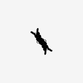 CCCCCCOc1ccc(-c2ccc(C(=O)Oc3ccc4cc(-c5ccc(-c6ccc(CCCCC)cc6)cc5)ccc4c3-c3c(OC(=O)c4ccc(-c5ccc(OCCCCCC)cc5)cc4)ccc4cc(-c5ccc(-c6ccc(CCCCC)cc6)cc5)ccc34)cc2)cc1